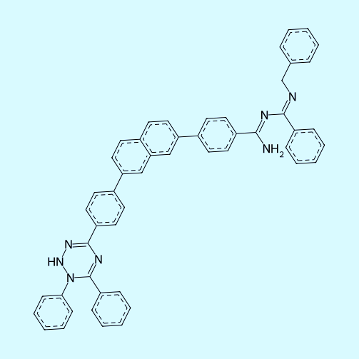 N/C(=N\C(=N/Cc1ccccc1)c1ccccc1)c1ccc(-c2ccc3ccc(-c4ccc(C5=NNN(c6ccccc6)C(c6ccccc6)=N5)cc4)cc3c2)cc1